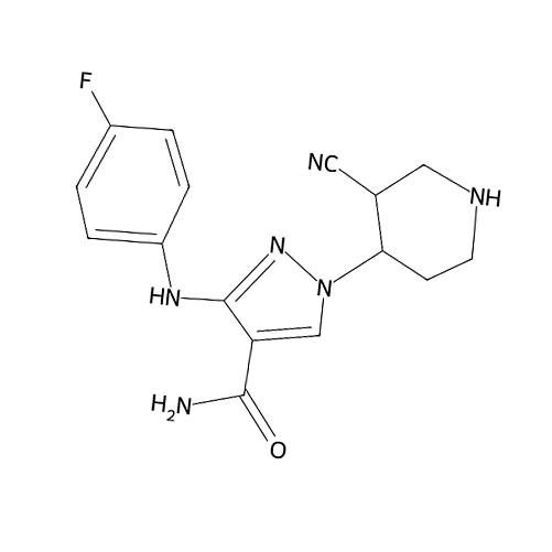 N#CC1CNCCC1n1cc(C(N)=O)c(Nc2ccc(F)cc2)n1